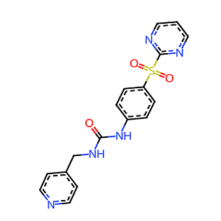 O=C(NCc1ccncc1)Nc1ccc(S(=O)(=O)c2ncccn2)cc1